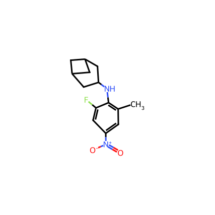 Cc1cc([N+](=O)[O-])cc(F)c1NC1CC2CC(C2)C1